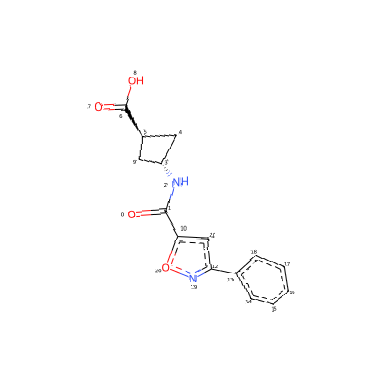 O=C(N[C@H]1C[C@H](C(=O)O)C1)c1cc(-c2ccccc2)no1